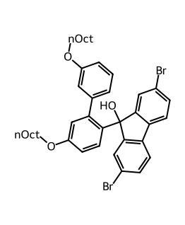 CCCCCCCCOc1cccc(-c2cc(OCCCCCCCC)ccc2C2(O)c3cc(Br)ccc3-c3ccc(Br)cc32)c1